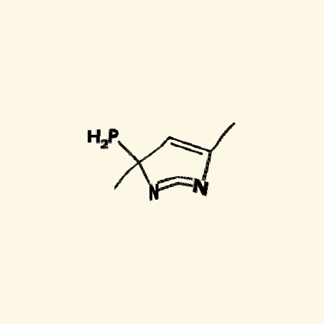 CC1=CC(C)(P)N=N1